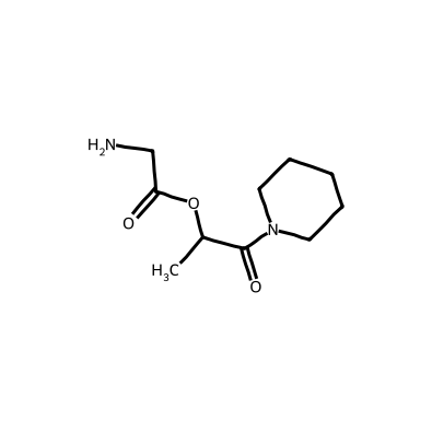 CC(OC(=O)CN)C(=O)N1CCCCC1